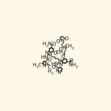 CCn1nc(C)cc1C(=O)Nc1nc2cc(C(N)=O)cc(OC)c2n1C/C=C/Cn1c(NC(=O)c2cccnn2)nc2cc(C(N)=O)cc(OCCCN(C)C(=O)CCN3C(=O)C=CC3=O)c21